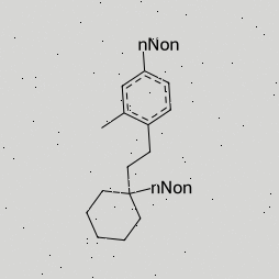 CCCCCCCCCc1ccc(CCC2(CCCCCCCCC)CCCCC2)c(C)c1